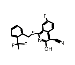 CC(F)(F)c1ccccc1CSc1nc(O)c(C#N)c2ccc(F)cc12